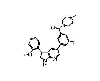 COc1ccccc1C1CNc2ncc(-c3cc(F)cc(C(=O)N4CCN(C)CC4)c3)cc21